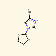 CC(C)(C)c1cn(C2CCCC2)cn1